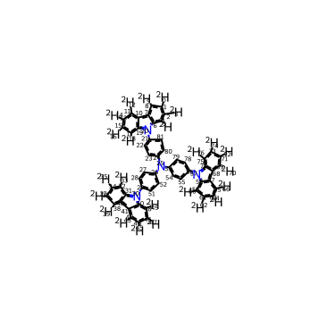 [2H]c1c([2H])c([2H])c2c(c1[2H])c1c([2H])c([2H])c([2H])c([2H])c1n2-c1ccc(N(c2ccc(-n3c4c([2H])c([2H])c([2H])c([2H])c4c4c([2H])c([2H])c([2H])c([2H])c43)cc2)c2ccc(-n3c4c([2H])c([2H])c([2H])c([2H])c4c4c([2H])c([2H])c([2H])c([2H])c43)cc2)cc1